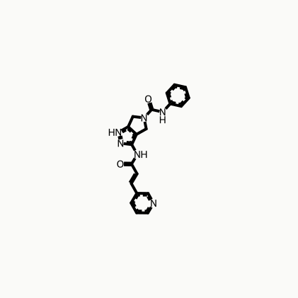 O=C(C=Cc1cccnc1)Nc1n[nH]c2c1CN(C(=O)Nc1ccccc1)C2